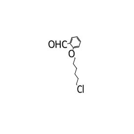 O=Cc1ccccc1OCCCCCCCl